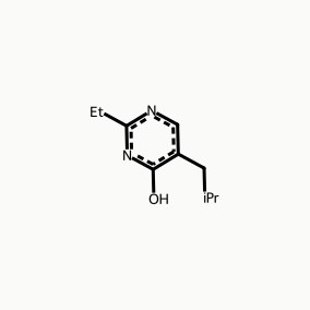 CCc1ncc(CC(C)C)c(O)n1